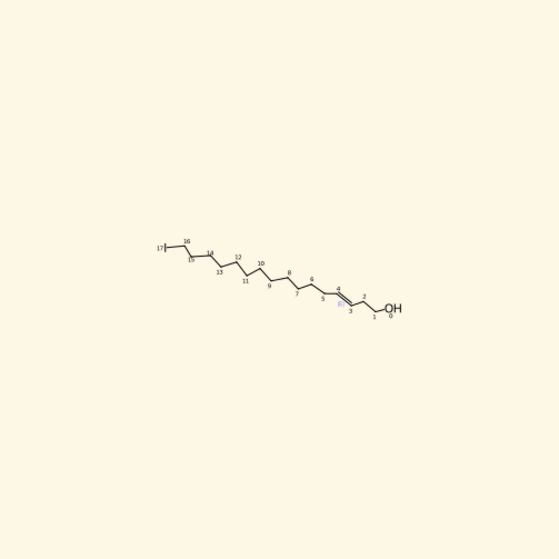 OCC/C=C/CCCCCCCCCCCCI